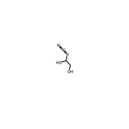 [N-]=[N+]=NC(O)CO